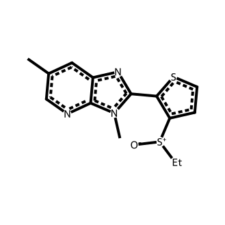 CC[S+]([O-])c1ccsc1-c1nc2cc(C)cnc2n1C